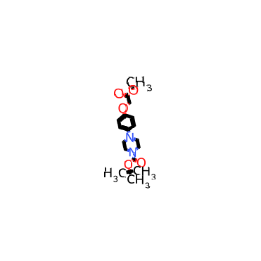 COC(=O)COc1ccc(N2CCN(C(=O)OC(C)(C)C)CC2)cc1